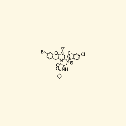 O=C(NC1CN(S(=O)(=O)c2ccc(Cl)cc2Cl)C2CN(C3CC3)C(=O)C(Cc3ccc(Br)cc3)N2C1=O)C1CCC1